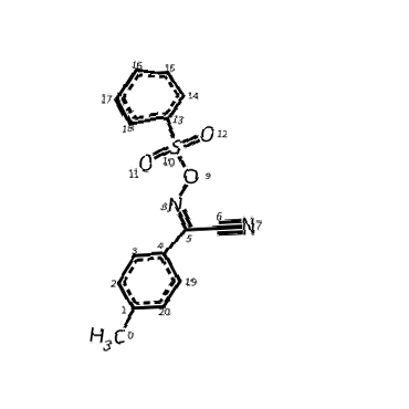 Cc1ccc(/C(C#N)=N/OS(=O)(=O)c2ccccc2)cc1